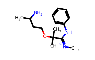 C/N=C(\Nc1ccccc1)C(C)(C)OCCC(C)N